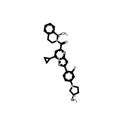 C[C@@H]1c2ccccc2CCN1C(=O)c1cc(C2CC2)n2nc(-c3ccc(N4CC[C@@H](N)C4)cc3F)cc2n1